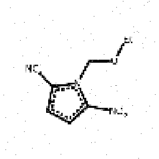 CCOCn1c(C#N)ccc1[N+](=O)[O-]